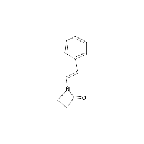 O=C1CCN1C=Cc1ccccc1